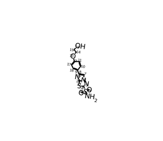 NS(=O)(=O)c1nn2cc(-c3ccc(OCCO)cc3)nc2s1